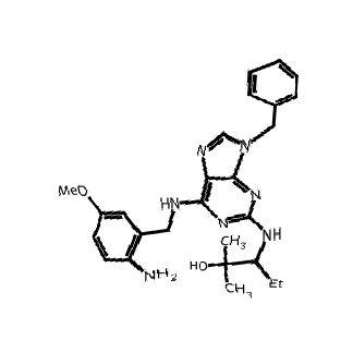 CCC(Nc1nc(NCc2cc(OC)ccc2N)c2ncn(Cc3ccccc3)c2n1)C(C)(C)O